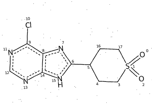 O=S1(=O)CCC(c2nc3c(Cl)ncnc3[nH]2)CC1